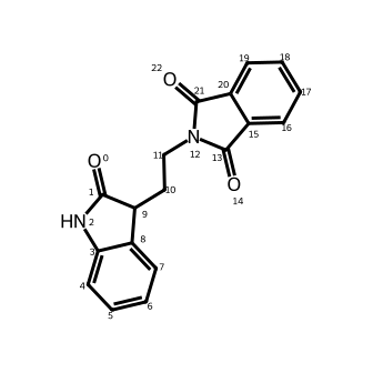 O=C1Nc2ccccc2C1CCN1C(=O)c2ccccc2C1=O